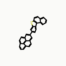 c1ccc2c(c1)ccc1sc3cc(-c4cc5ccc6cccc7ccc(c4)c5c67)ccc3c12